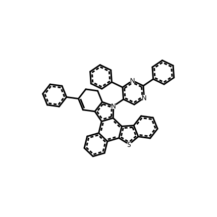 C1=C(c2ccccc2)CCc2c1c1c3ccccc3c3sc4ccccc4c3c1n2-c1cnc(-c2ccccc2)nc1-c1ccccc1